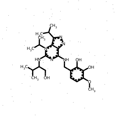 COc1ccc(CNc2nc(NC(CO)C(C)C)n(C(C)C)c3c(C(C)C)nnc2-3)c(O)c1O